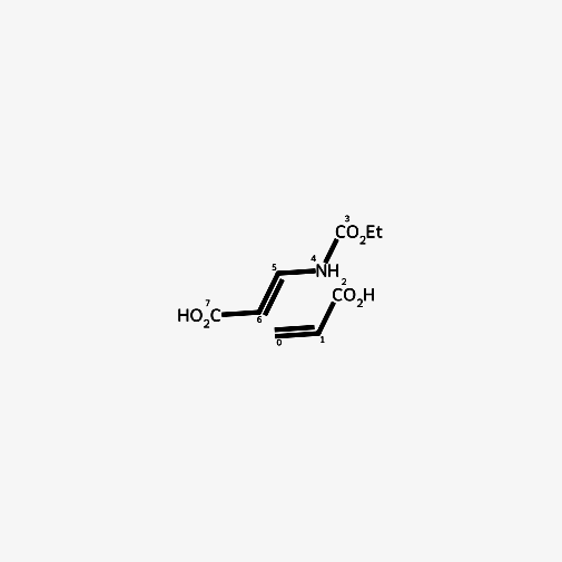 C=CC(=O)O.CCOC(=O)NC=CC(=O)O